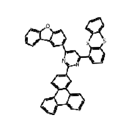 c1ccc2c(c1)Sc1cccc(-c3cc(-c4ccc5oc6ccccc6c5c4)nc(-c4ccc5c6ccccc6c6ccccc6c5c4)n3)c1S2